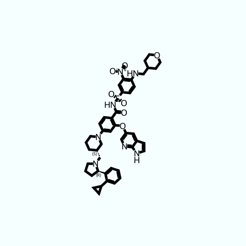 O=C(NS(=O)(=O)c1ccc(NCC2CCOCC2)c([N+](=O)[O-])c1)c1ccc(N2CCC[C@@H](CN3CCC[C@@H]3c3ccccc3C3CC3)C2)cc1Oc1cnc2[nH]ccc2c1